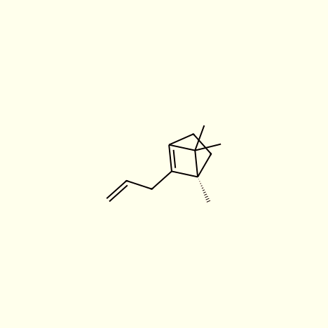 C=CCC1=C2CC[C@]1(C)C2(C)C